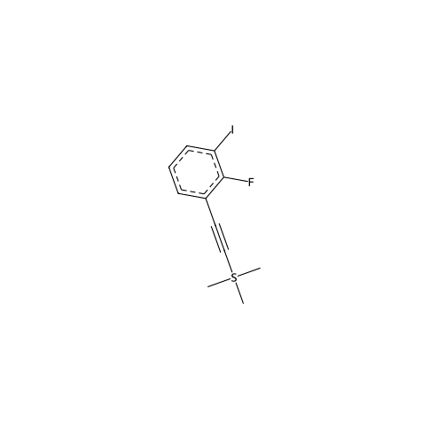 CS(C)(C)C#Cc1cccc(I)c1F